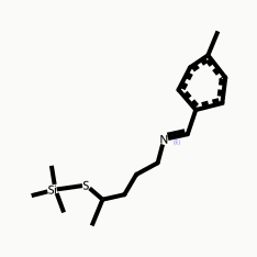 Cc1ccc(/C=N/CCCC(C)S[Si](C)(C)C)cc1